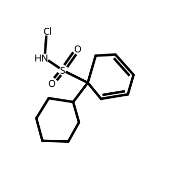 O=S(=O)(NCl)C1(C2CCCCC2)C=CC=CC1